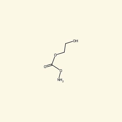 NOC(=O)OCCO